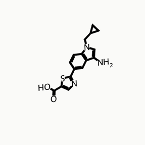 Nc1cn(CC2CC2)c2ccc(-c3ncc(C(=O)O)s3)cc12